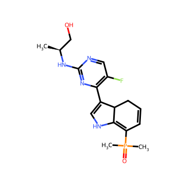 C[C@@H](CO)Nc1ncc(F)c(C2=CNC3=C(P(C)(C)=O)C=CCC23)n1